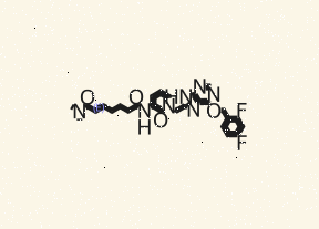 CN(C)C(=O)/C=C/CCCC(=O)Nc1cccn(Cc2nc3c(OCc4ccc(F)cc4F)ncnc3[nH]2)c1=O